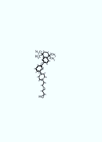 CC1(C)CCC(C)(C)c2cc(-c3cccc(N4CCN(CCOCCO)CC4)n3)ccc21